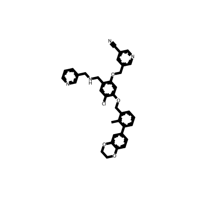 Cc1c(COc2cc(OCc3cncc(C#N)c3)c(CNCc3cccnc3)cc2Cl)cccc1-c1ccc2c(c1)OCCO2